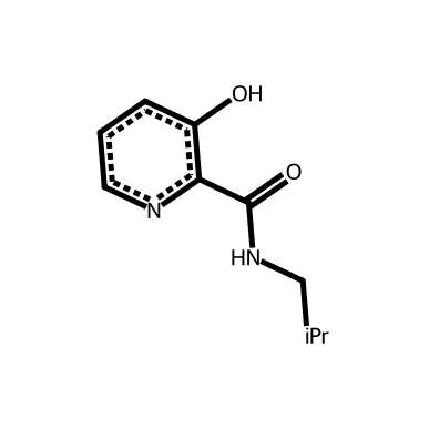 CC(C)CNC(=O)c1ncccc1O